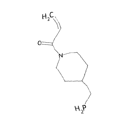 C=CC(=O)N1CCC(CP)CC1